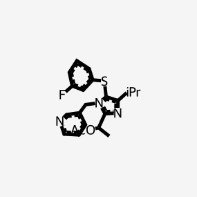 CC(=O)OC(C)c1nc(C(C)C)c(Sc2cccc(F)c2)n1Cc1cccnc1